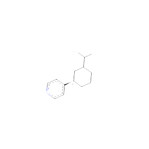 CCOC(=O)C(C)C1CCC[C@@H](c2ccncc2)C1